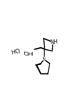 CC1(N2CCCC2)CNC1.Cl.Cl